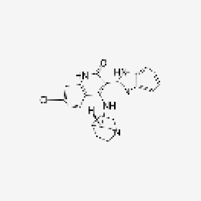 O=c1[nH]c2cc(Cl)ccc2c(N[C@@H]2CN3CCC2CC3)c1-c1nc2ccccc2[nH]1